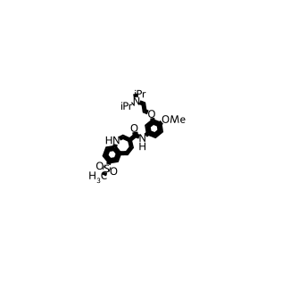 COc1ccc(NC(=O)C2CCc3cc(S(C)(=O)=O)ccc3NC2)cc1OCCN(C(C)C)C(C)C